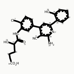 N#Cc1c(-c2ccc(Cl)c(NC(=O)C(O)CCC(=O)O)c2)cc(-c2ccccc2O)nc1N